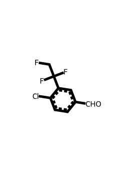 O=Cc1ccc(Cl)c(C(F)(F)CF)c1